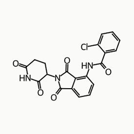 O=C1CCC(N2C(=O)c3cccc(NC(=O)c4ccccc4Cl)c3C2=O)C(=O)N1